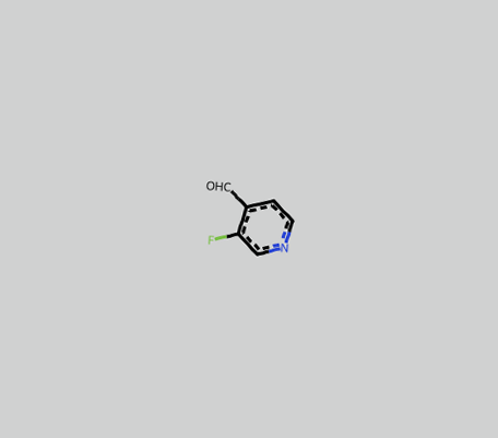 O=Cc1ccncc1F